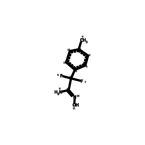 Cc1ccc(C(F)(F)/C(N)=N/O)cc1